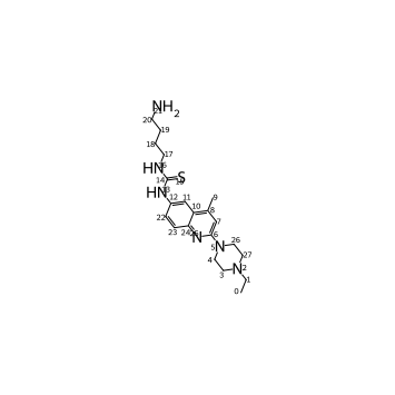 CCN1CCN(c2cc(C)c3cc(NC(=S)NCCCCN)ccc3n2)CC1